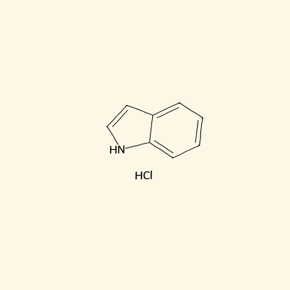 Cl.c1ccc2[nH]ccc2c1